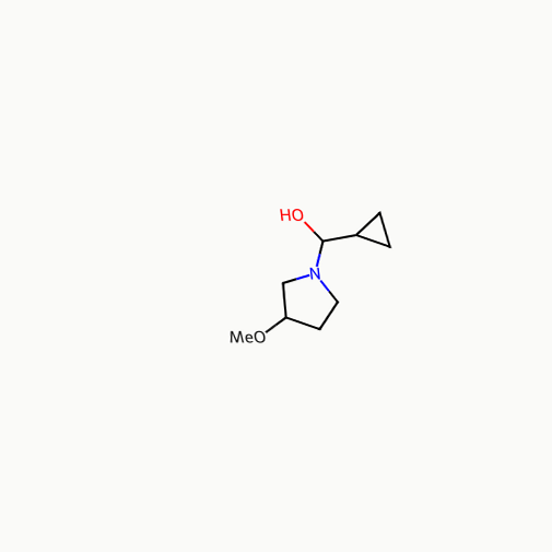 COC1CCN(C(O)C2CC2)C1